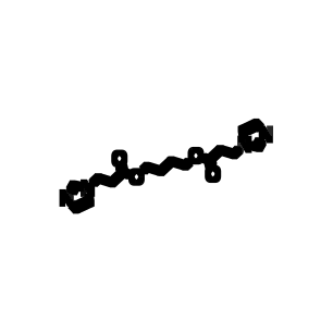 O=C(CCn1ccnc1)OCCCCOC(=O)CCn1ccnc1